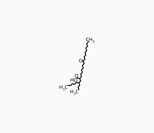 CCCCCCCCCCC(=O)CCCCCCCC(CC(CCCC)CCCCCC)C(=O)O